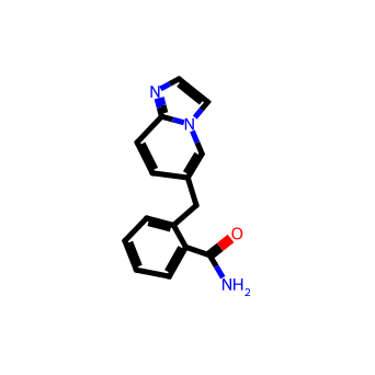 NC(=O)c1ccccc1Cc1ccc2nccn2c1